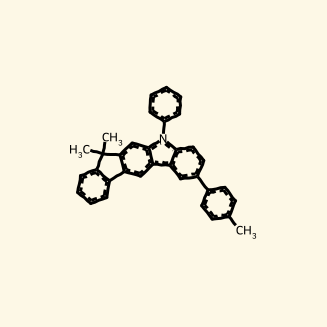 Cc1ccc(-c2ccc3c(c2)c2cc4c(cc2n3-c2ccccc2)C(C)(C)c2ccccc2-4)cc1